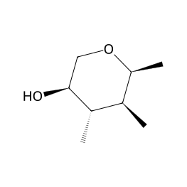 C[C@H]1[C@H](C)[C@@H](O)CO[C@H]1C